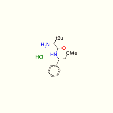 COC[C@@H](NC(=O)[C@@H](N)C(C)(C)C)c1ccccc1.Cl